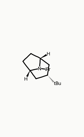 CC(C)N1[C@@H]2CC[C@H]1C[C@@H](C(C)(C)C)C2